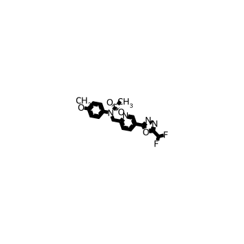 COc1ccc(N(Cc2ccc(-c3nnc(C(F)F)o3)cn2)S(C)(=O)=O)cc1